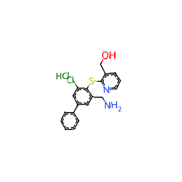 Cl.NCc1cc(-c2ccccc2)cc(Cl)c1Sc1ncccc1CO